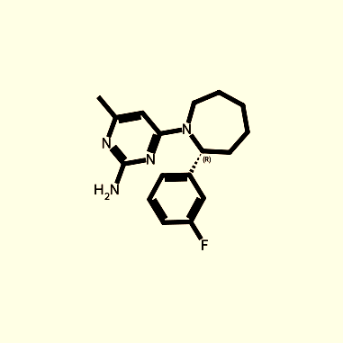 Cc1cc(N2CCCCC[C@@H]2c2cccc(F)c2)nc(N)n1